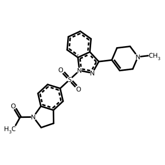 CC(=O)N1CCc2cc(S(=O)(=O)n3nc(C4=CCN(C)CC4)c4ccccc43)ccc21